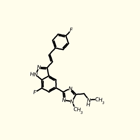 CNCc1nc(-c2cc(F)c3[nH]nc(C=Cc4ccc(F)cc4)c3c2)nn1C